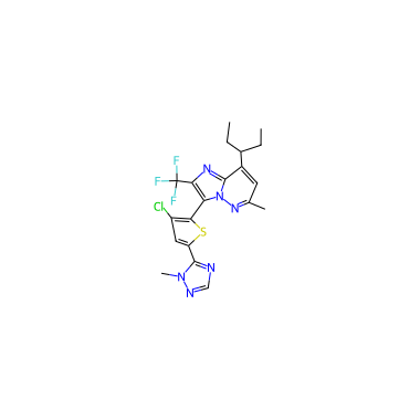 CCC(CC)c1cc(C)nn2c(-c3sc(-c4ncnn4C)cc3Cl)c(C(F)(F)F)nc12